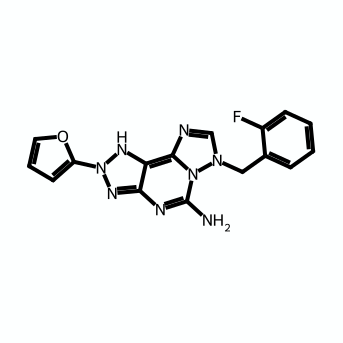 NC1=NC2=NN(c3ccco3)NC2=C2N=CN(Cc3ccccc3F)N12